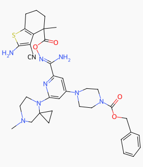 CN1CCN(c2cc(N3CCN(C(=O)OCc4ccccc4)CC3)cc(/C(N)=N/OC(=O)C3(C)CCCc4sc(N)c(C#N)c43)n2)C2(CC2)C1